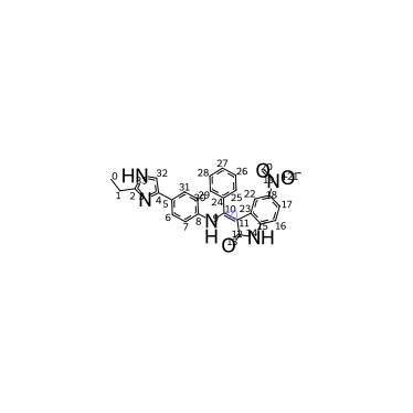 CCc1nc(-c2ccc(N/C(=C3\C(=O)Nc4ccc([N+](=O)[O-])cc43)c3ccccc3)cc2)c[nH]1